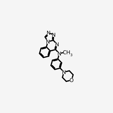 CN(c1cccc(N2CCOCC2)c1)c1nc2nncn2c2ccccc12